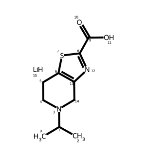 CC(C)N1CCc2sc(C(=O)O)nc2C1.[LiH]